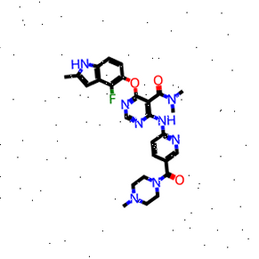 Cc1cc2c(F)c(Oc3ncnc(Nc4ccc(C(=O)N5CCN(C)CC5)cn4)c3C(=O)N(C)C)ccc2[nH]1